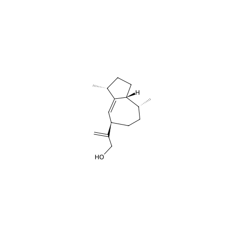 C=C(CO)[C@H]1C=C2[C@H](C)CC[C@@H]2[C@H](C)CC1